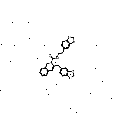 O=C(NCCc1ccc2c(c1)OCO2)C1Cc2ccccc2C=C1Cc1ccc2c(c1)OCO2